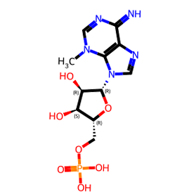 Cn1cnc(=N)c2ncn([C@@H]3O[C@H](COP(=O)(O)O)[C@@H](O)[C@H]3O)c21